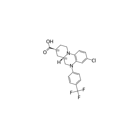 O=C(O)[C@H]1CCN2c3ccc(Cl)cc3N(c3ccc(C(F)(F)F)cc3)C[C@@H]2C1